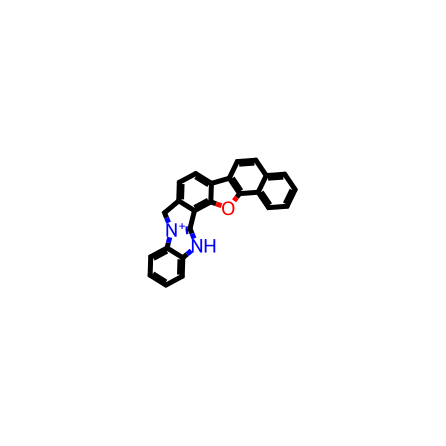 c1ccc2c(c1)ccc1c3ccc4c(c3oc21)-c1[nH]c2ccccc2[n+]1C4